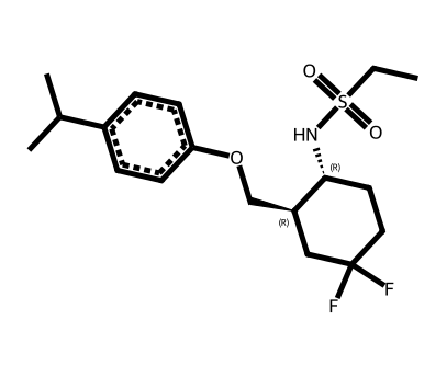 CCS(=O)(=O)N[C@@H]1CCC(F)(F)C[C@H]1COc1ccc(C(C)C)cc1